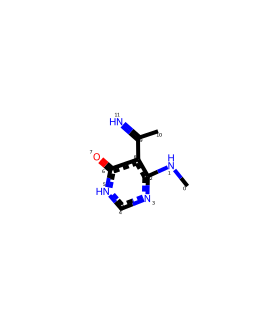 CNc1nc[nH]c(=O)c1C(C)=N